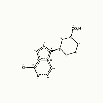 O=C(O)N1CCC[C@@H](c2ncc3c(Cl)nccn23)C1